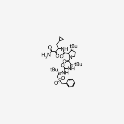 CC(C)(C)[C@H](NC(=O)N[C@H](CS(=O)(=O)Cc1ccccc1)C(C)(C)C)C(=O)N1CC[C@@H](C(C)(C)C)C1C(=O)NC(CC1CC1)C(=O)C(N)=O